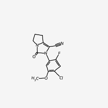 COc1cc(-n2c(C#N)c3n(c2=O)CCC3)c(F)cc1Cl